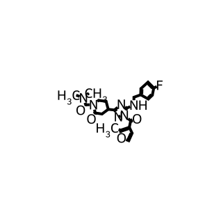 Cc1occc1C(=O)n1nc(C2CCN(C(=O)N(C)C)C(=O)C2)nc1NCc1ccc(F)cc1